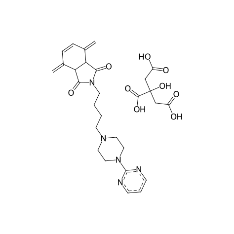 C=C1C=CC(=C)C2C(=O)N(CCCCN3CCN(c4ncccn4)CC3)C(=O)C12.O=C(O)CC(O)(CC(=O)O)C(=O)O